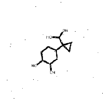 OC1CCC(C2(C(O)O)CC2)CC1O